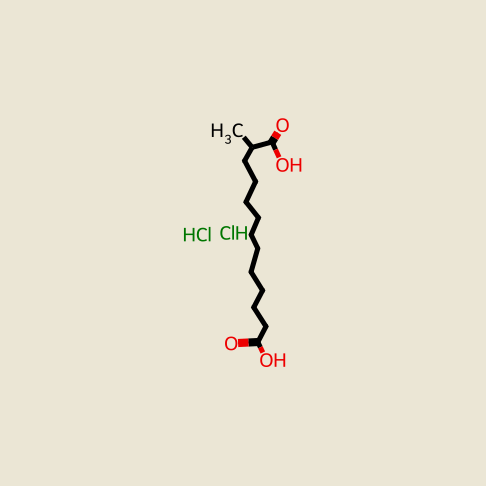 CC(CCCCCCCCCCC(=O)O)C(=O)O.Cl.Cl